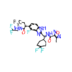 Cc1nonc1C(=O)N[C@H](c1nc2c(F)c([C@H](CC(F)(F)F)C(=O)NCC(F)F)ccc2[nH]1)C1CCC(F)(F)CC1